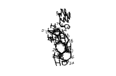 C[C@H]1[C@@H]2[C@H]1[C@H](C(=O)Cn1cnnn1)[C@@]1(C)CC[C@H]3[C@@H](CC[C@@H]4C[C@](C)(O)CC[C@@H]43)[C@H]21